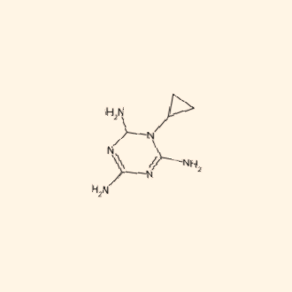 NC1=NC(N)N(C2CC2)C(N)=N1